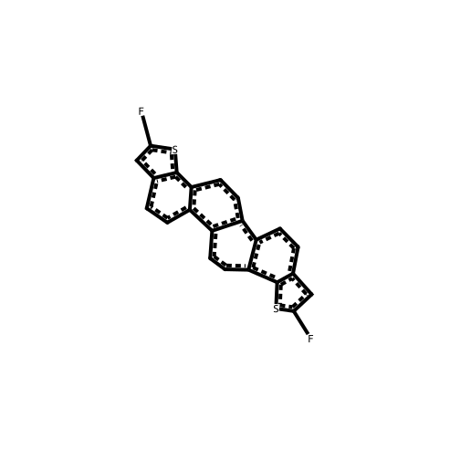 Fc1cc2ccc3c4ccc5c(ccc6cc(F)sc65)c4ccc3c2s1